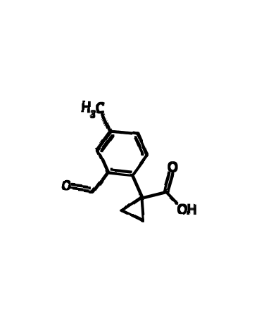 Cc1ccc(C2(C(=O)O)CC2)c(C=O)c1